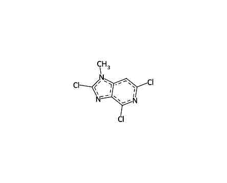 Cn1c(Cl)nc2c(Cl)nc(Cl)cc21